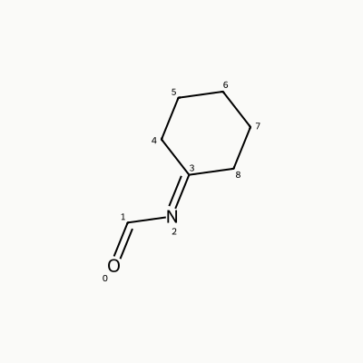 O=CN=C1CCCCC1